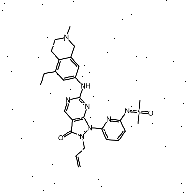 C=CCn1c(=O)c2cnc(Nc3cc(CC)c4c(c3)CN(C)CC4)nc2n1-c1cccc(N=S(C)(C)=O)n1